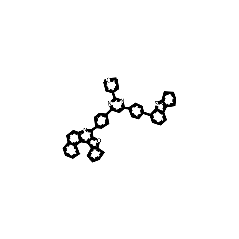 c1ccc(-c2nc(-c3ccc(-c4nc5ccc6ccccc6c5c5c4oc4ccccc45)cc3)cc(-c3ccc(-c4cccc5c4sc4ccccc45)cc3)n2)cc1